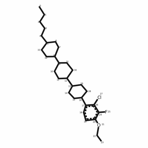 CCCCCC1CCC(C2CCC(C3CCC(c4ccc(OCC)c(F)c4Cl)CC3)CC2)CC1